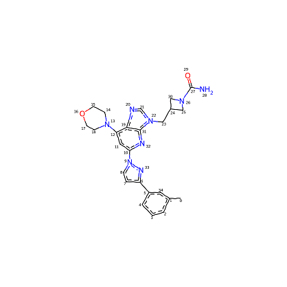 Cc1cccc(-c2ccn(-c3cc(N4CCOCC4)c4ncn(CC5CN(C(N)=O)C5)c4n3)n2)c1